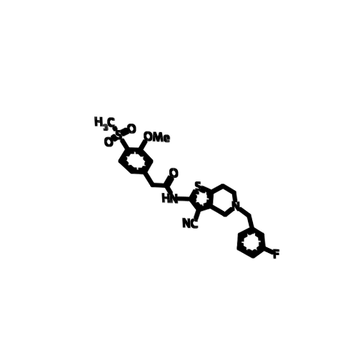 COc1cc(CC(=O)Nc2sc3c(c2C#N)CN(Cc2cccc(F)c2)CC3)ccc1S(C)(=O)=O